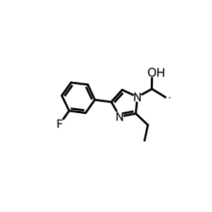 [CH2]C(O)n1cc(-c2cccc(F)c2)nc1CC